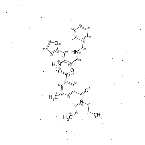 CCCN(CCC)C(=O)c1cc(C)cc(C(=O)O[C@H](CNCc2ccccc2)[C@@H](N)Cc2ccco2)c1